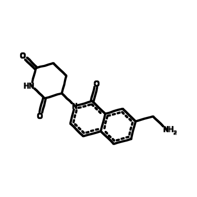 NCc1ccc2ccn(C3CCC(=O)NC3=O)c(=O)c2c1